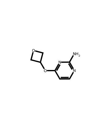 Nc1nccc(OC2COC2)n1